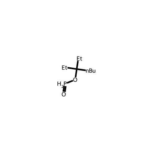 CCCCC(CC)(CC)O[PH2]=O